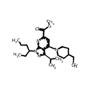 CCCC(CC)n1nc(C(C)C)c2c(N3CCC(CO)CC3)cc(C(=O)OC)nc21